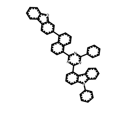 c1ccc(-c2nc(-c3cccc4c(-c5ccc6c(c5)oc5ccccc56)cccc34)nc(-c3cccc4c3c3ccccc3n4-c3ccccc3)n2)cc1